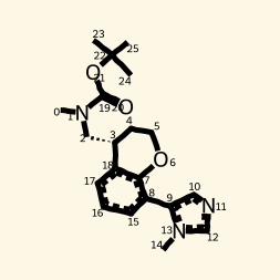 CN(C[C@@H]1CCOc2c(-c3cncn3C)cccc21)C(=O)OC(C)(C)C